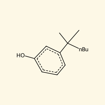 CCCCC(C)(C)c1cccc(O)c1